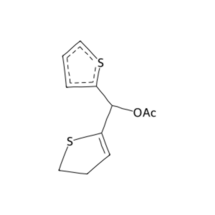 CC(=O)OC(C1=CCCS1)c1cccs1